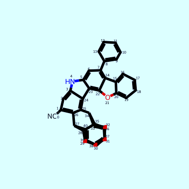 N#Cc1cc2[nH]c3cc(-c4ccccc4)c4c5ccccc5oc4c3c2c2c1C1c3ccccc3C2c2ccccc21